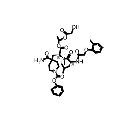 Cc1ccccc1OCC(=O)N[C@@H](CC(C)C)C(=O)N[C@@H](CC1(C(N)=O)CCN(C(=O)Oc2ccccc2)CC1)C(=O)OC(C)OC(=O)CO